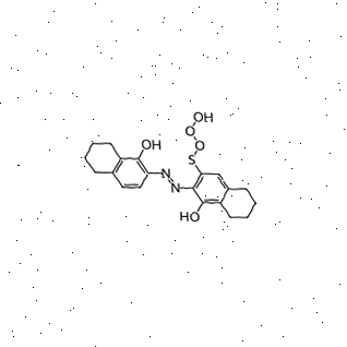 OOOSc1cc2c(c(O)c1N=Nc1ccc3c(c1O)CCCC3)CCCC2